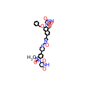 Cn1c(=O)n(C2CCC(=O)NC2=O)c2ccc(C3CCN(CC(=O)N4CC(c5ccc6c(F)c(N7CC(=O)NS7(=O)=O)c(OCc7ccccc7)cc6c5)C4)CC3)cc21